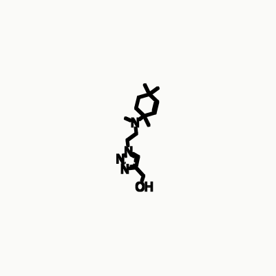 CN(CCn1cc(CO)nn1)C1(C)C=CC(C)(C)CC1